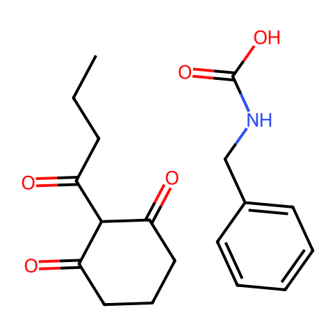 CCCC(=O)C1C(=O)CCCC1=O.O=C(O)NCc1ccccc1